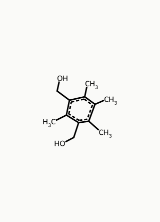 Cc1c(C)c(CO)c(C)c(CO)c1C